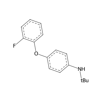 CC(C)(C)Nc1ccc(Oc2ccccc2F)cc1